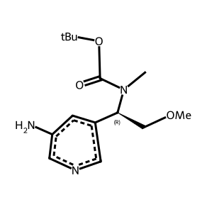 COC[C@@H](c1cncc(N)c1)N(C)C(=O)OC(C)(C)C